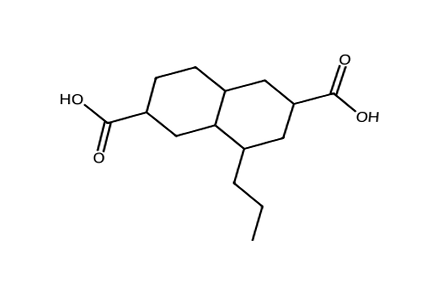 CCCC1CC(C(=O)O)CC2CCC(C(=O)O)CC12